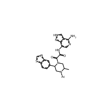 CC(=O)N1CC(c2ccc3scnc3c2)N(C(=O)C(=O)Nc2cnc(N)c3c[nH]nc23)CC1C